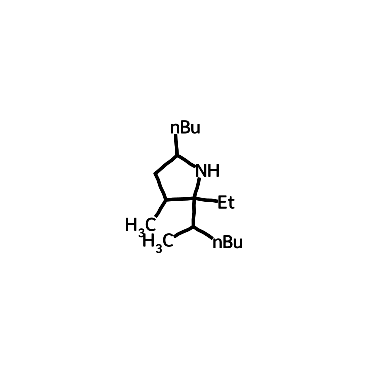 CCCCC1CC(C)C(CC)(C(C)CCCC)N1